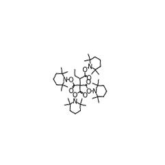 CCC(C(=O)ON1C(C)(C)CCCC1(C)C)C(C(=O)ON1C(C)(C)CCCC1(C)C)(C(=O)ON1C(C)(C)CCCC1(C)C)C(=O)ON1C(C)(C)CCCC1(C)C